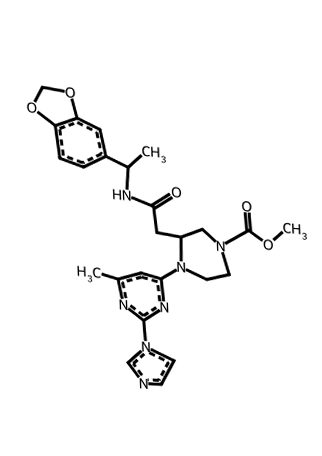 COC(=O)N1CCN(c2cc(C)nc(-n3ccnc3)n2)C(CC(=O)NC(C)c2ccc3c(c2)OCO3)C1